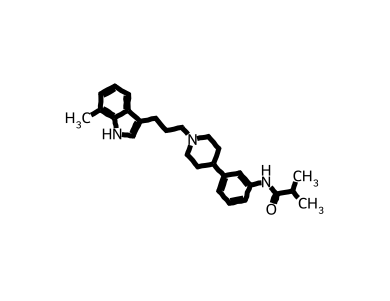 Cc1cccc2c(CCCN3CCC(c4cccc(NC(=O)C(C)C)c4)CC3)c[nH]c12